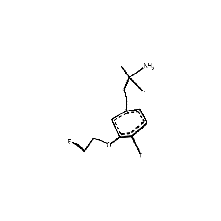 [CH2]C(C)(N)[CH]c1ccc(I)c(OCCF)c1